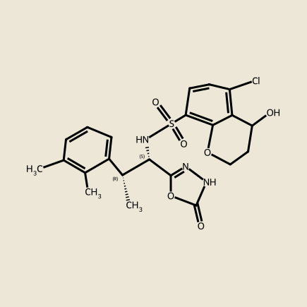 Cc1cccc([C@@H](C)[C@H](NS(=O)(=O)c2ccc(Cl)c3c2OCCC3O)c2n[nH]c(=O)o2)c1C